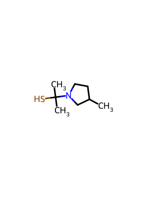 CC1CCN(C(C)(C)S)C1